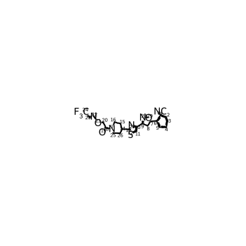 N#Cc1ccccc1C1CC(c2csc(C3CCN(C(=O)CON=CC(F)(F)F)CC3)n2)=NO1